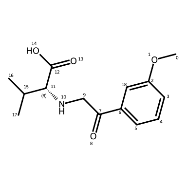 COc1cccc(C(=O)CN[C@@H](C(=O)O)C(C)C)c1